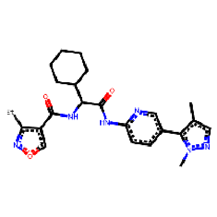 CCc1nocc1C(=O)NC(C(=O)Nc1ccc(-c2c(C)cnn2C)cn1)C1CCCCC1